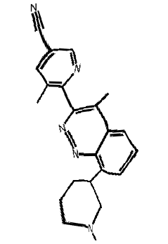 Cc1cc(C#N)cnc1-c1nnc2c(C3CCCN(C)C3)cccc2c1C